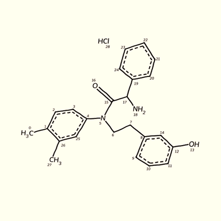 Cc1ccc(N(CCc2cccc(O)c2)C(=O)C(N)c2ccccc2)cc1C.Cl